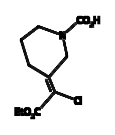 CCOC(=O)C(Cl)=C1CCCN(C(=O)O)C1